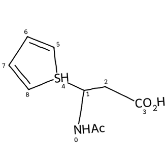 CC(=O)NC(CC(=O)O)[SH]1C=CC=C1